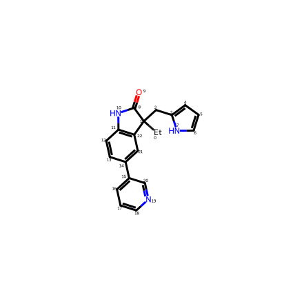 CCC1(Cc2ccc[nH]2)C(=O)Nc2ccc(-c3cccnc3)cc21